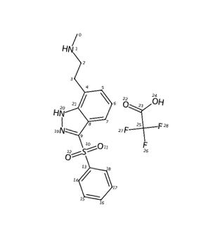 CNCCc1cccc2c(S(=O)(=O)c3ccccc3)n[nH]c12.O=C(O)C(F)(F)F